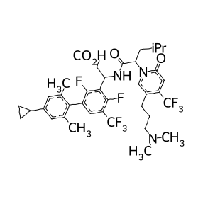 Cc1cc(C2CC2)cc(C)c1-c1cc(C(F)(F)F)c(F)c(C(CC(=O)O)NC(=O)C(CC(C)C)n2cc(CCCN(C)C)c(C(F)(F)F)cc2=O)c1F